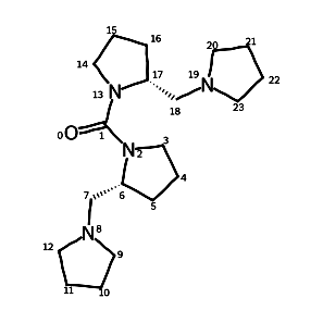 O=C(N1CCC[C@@H]1CN1CCCC1)N1CCC[C@@H]1CN1CCCC1